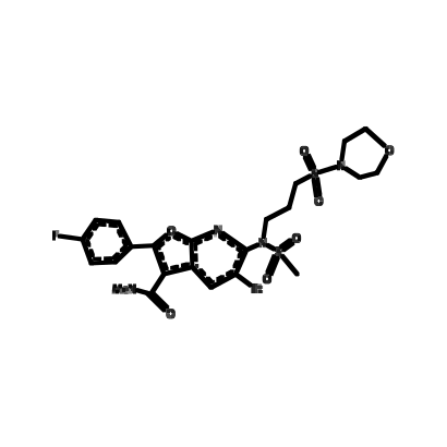 CCc1cc2c(C(=O)NC)c(-c3ccc(F)cc3)oc2nc1N(CCCS(=O)(=O)N1CCOCC1)S(C)(=O)=O